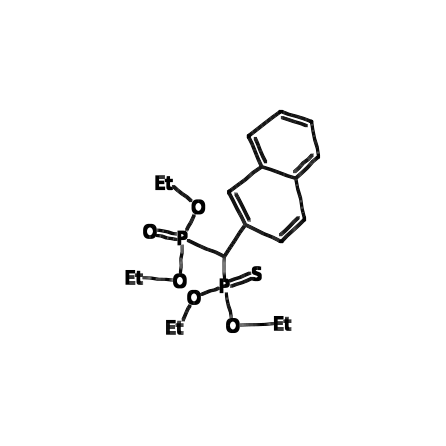 CCOP(=O)(OCC)C(c1ccc2ccccc2c1)P(=S)(OCC)OCC